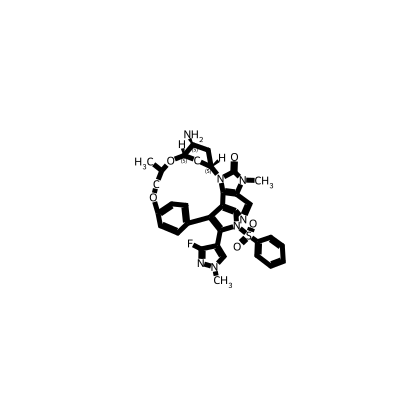 CC1COc2ccc(cc2)-c2c(-c3cn(C)nc3F)n(S(=O)(=O)c3ccccc3)c3ncc4c(c23)n(c(=O)n4C)[C@@H]2C[C@H](O1)[C@@H](N)C2